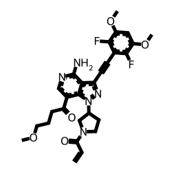 C=CC(=O)N1CCC(n2nc(C#Cc3c(F)c(OC)cc(OC)c3F)c3c(N)ncc(C(=O)CCCOC)c32)C1